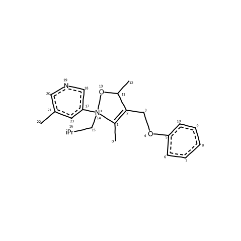 CC1=C(COc2ccccc2)C(C)O[N+]1(CC(C)C)c1cncc(C)c1